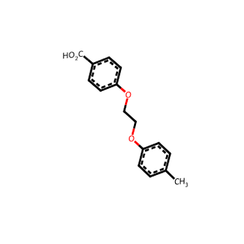 Cc1ccc(OCCOc2ccc(C(=O)O)cc2)cc1